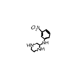 O=[N+]([O-])c1cccc(NC2CNCCN2)c1